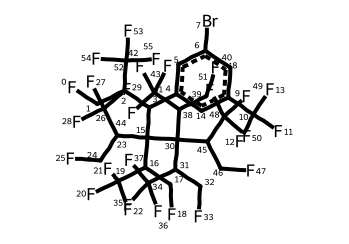 FCC(C(c1cc(Br)[c]c(C(F)(F)F)c1)C(C(CF)C(F)(F)F)(C(CF)C(F)(F)F)C(C(CF)C(F)(F)F)(C(CF)C(F)(F)F)C(CF)C(F)(F)F)C(F)(F)F